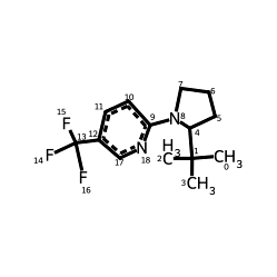 CC(C)(C)C1CCCN1c1ccc(C(F)(F)F)cn1